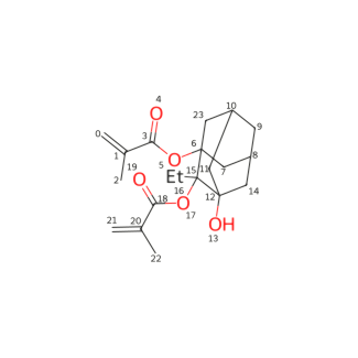 C=C(C)C(=O)OC12CC3CC(CC(O)(C3)C1(CC)OC(=O)C(=C)C)C2